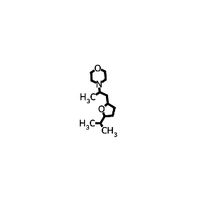 CC(C)C1CCC(CC(C)N2CCOCC2)O1